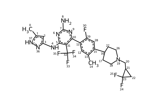 Cc1cc(Nc2nc(N)nc(-c3cc(C)c(C4CCN(CC5CC5(F)F)CC4)cc3F)c2C(F)(F)F)n[nH]1